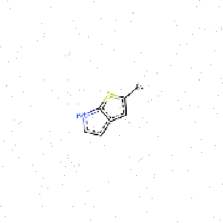 CCc1cc2cc[nH]c2s1